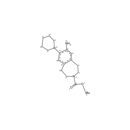 CC(C)(C)OC(=O)N1CCc2cc(N)c(N3CCCCC3)cc2CC1